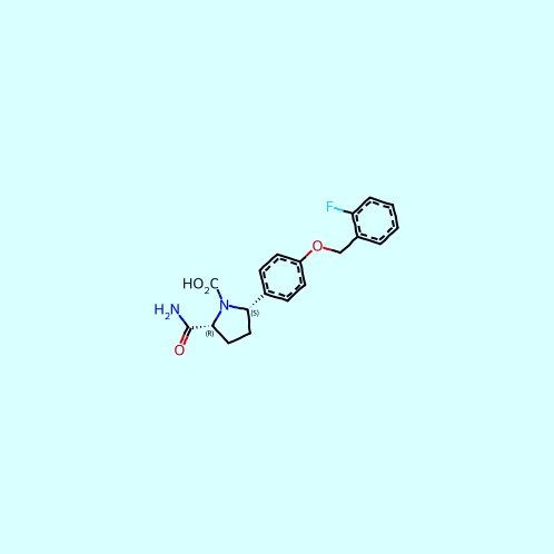 NC(=O)[C@H]1CC[C@@H](c2ccc(OCc3ccccc3F)cc2)N1C(=O)O